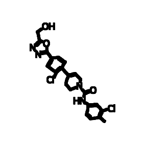 Cc1ccc(NC(=O)N2CC=C(c3ccc(-c4nnc(CO)o4)cc3Cl)CC2)cc1Cl